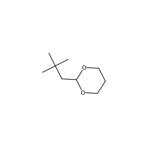 CC(C)(C)CC1OCCCO1